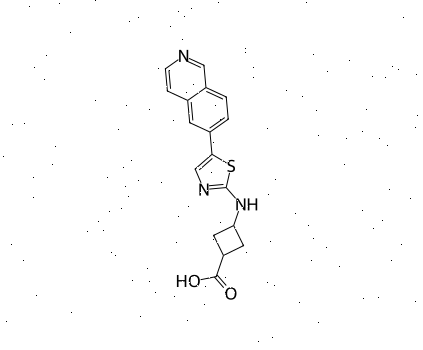 O=C(O)C1CC(Nc2ncc(-c3ccc4cnccc4c3)s2)C1